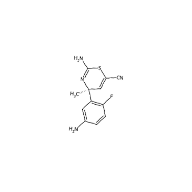 C[C@@]1(c2cc(N)ccc2F)C=C(C#N)SC(N)=N1